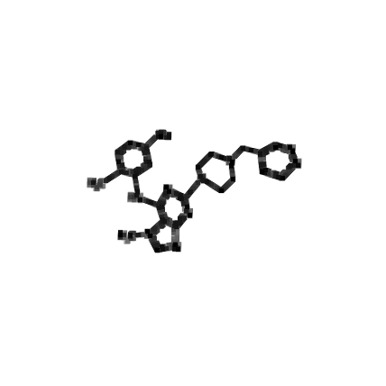 Cc1ccc(C(C)(C)C)cc1Nc1nc(N2CCN(Cc3ccnnc3)CC2)nc2ncn(C)c12